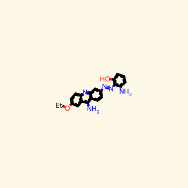 CCOc1ccc2nc3cc(/N=N/c4c(N)cccc4O)ccc3c(N)c2c1